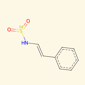 O=[SH](=O)NC=Cc1ccccc1